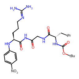 CC(C)C[C@H](NC(=O)OC(C)(C)C)C(=O)NCC(=O)NC(=O)[C@H](CCCN=C(N)N)Nc1ccc([N+](=O)[O-])cc1